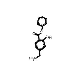 NCc1ccc(C(=O)Oc2ccccc2)c(O)c1